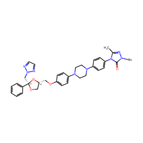 CCC(C)n1nc(C)n(-c2ccc(N3CCN(c4ccc(OC[C@@H]5CO[C@@](Cn6nccn6)(c6ccccc6)O5)cc4)CC3)cc2)c1=O